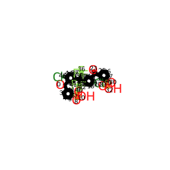 O=C(c1cccc(S(=O)(=O)O)c1)c1cc(C(c2ccc(Cl)c(C(=O)c3cccc(S(=O)(=O)O)c3)c2)(C(F)(F)F)C(F)(F)F)ccc1Cl